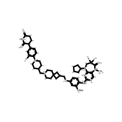 COc1cc(OCC2CC3(CCN(CC4CCN(c5ccc(C6CCC(=O)NC6=O)cc5F)CC4)CC3)C2)ccc1Nc1ncc2c(n1)N(C1CCCC1)CC(F)(F)C(=O)N2C